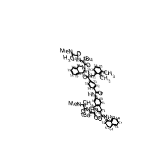 CN[C@@H](C)C(=O)N[C@H](C(=O)N1Cc2ccccc2C[C@H]1CN(Cc1cccc(C)c1C)C(=O)c1ccc(C(=O)Nc2ccc3c(c2)CN(C(=O)[C@@H](NC(=O)[C@H](C)NC)C(C)(C)C)[C@H](C(=O)N[C@@H]2CCCc4ccccc42)C3)cc1)C(C)(C)C